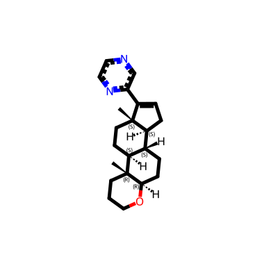 C[C@]12CCCO[C@@H]1CC[C@@H]1[C@@H]2CC[C@]2(C)C(c3cnccn3)=CC[C@@H]12